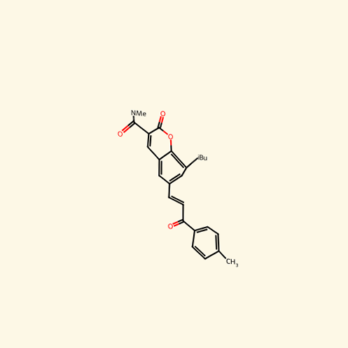 CCC(C)c1cc(/C=C/C(=O)c2ccc(C)cc2)cc2cc(C(=O)NC)c(=O)oc12